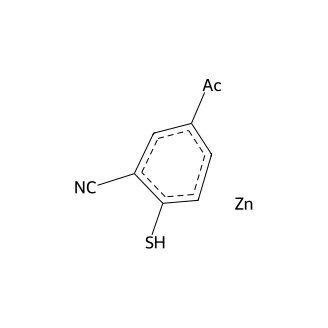 CC(=O)c1ccc(S)c(C#N)c1.[Zn]